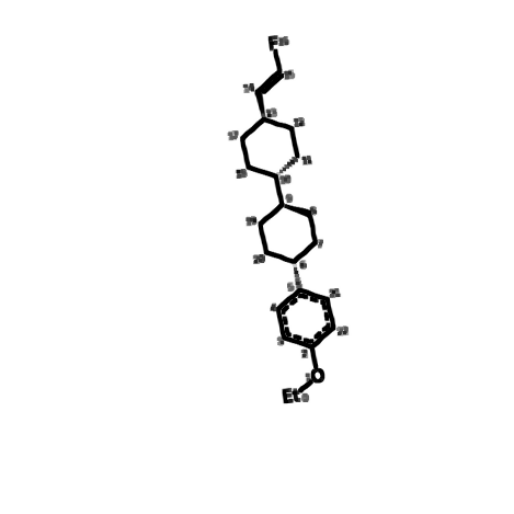 CCOc1ccc([C@H]2CC[C@H]([C@H]3CC[C@H](C=CF)CC3)CC2)cc1